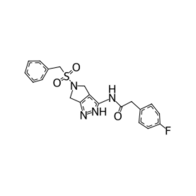 O=C(Cc1ccc(F)cc1)Nc1[nH]nc2c1CN(S(=O)(=O)Cc1ccccc1)C2